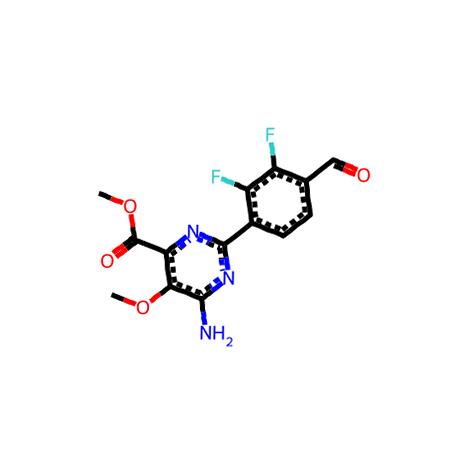 COC(=O)c1nc(-c2ccc(C=O)c(F)c2F)nc(N)c1OC